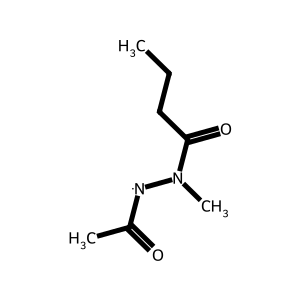 CCCC(=O)N(C)[N]C(C)=O